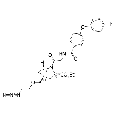 CCOC(=O)[C@@H]1C[C@]2(COCCN=[N+]=[N-])C[C@@H]2N1C(=O)CNC(=O)c1ccc(Oc2ccc(F)cc2)cc1